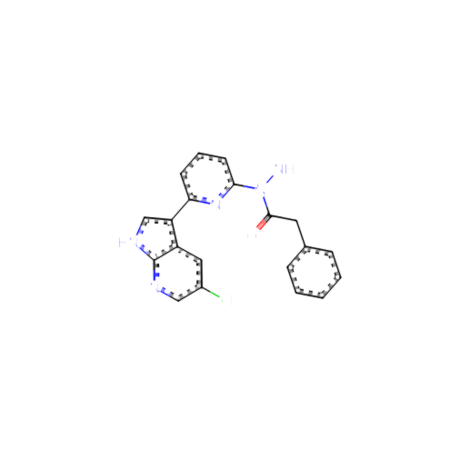 NN(C(=O)Cc1ccccc1)c1cccc(-c2c[nH]c3ncc(Cl)cc23)n1